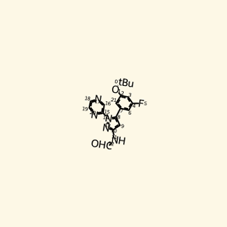 CC(C)(C)Oc1cc(F)cc(-c2cc(NC=O)nn2-c2cnccn2)c1